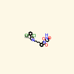 N#CC1(c2c(Cl)cccc2Cl)CCN(CCCCc2cccc3c2CN(C2CCC(=O)NC2=O)C3=O)CC1